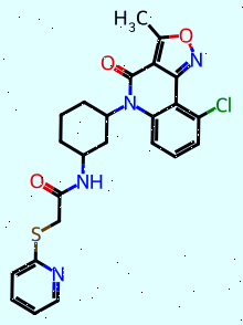 Cc1onc2c1c(=O)n(C1CCCC(NC(=O)CSc3ccccn3)C1)c1cccc(Cl)c21